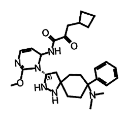 COC1=NC=CC(NC(=O)C(=O)CC2CCC2)N1[C@@H]1CC2(CCC(c3ccccc3)(N(C)C)CC2)NN1